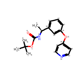 C[C@H](NC(=O)OC(C)(C)C)c1cccc(Oc2ccncc2)c1